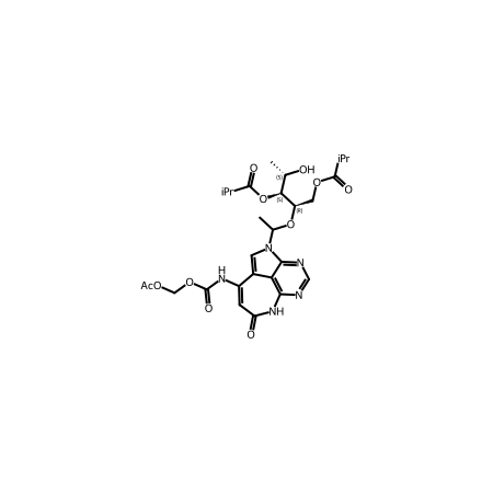 CC(=O)OCOC(=O)NC1=CC(=O)Nc2ncnc3c2c1cn3C(C)O[C@H](COC(=O)C(C)C)[C@@H](OC(=O)C(C)C)[C@H](C)O